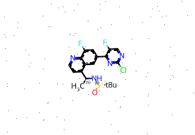 C[C@H](N[S@@+]([O-])C(C)(C)C)c1ccnc2c(F)cc(-c3nc(Cl)ncc3F)cc12